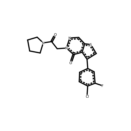 O=C(Cn1ncc2scc(-c3ccc(Cl)c(F)c3)c2c1=O)N1CCCC1